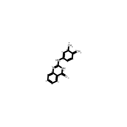 C=C1C=CC(Nc2nc3ccccc3c(=O)[nH]2)=CC1C